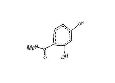 CNC(=O)c1ccc(O)cc1O